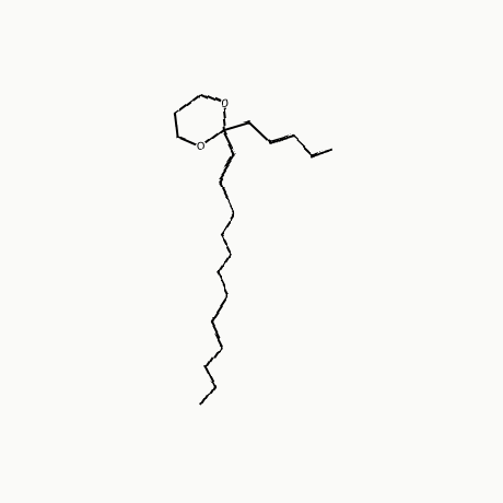 CCCCCCCCCCCCC1(CCCCC)OCCCO1